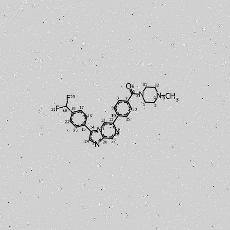 CN1CCN(C(=O)c2ccc(-c3cn4c(-c5ccc(C(F)F)cc5)cnc4cn3)cc2)CC1